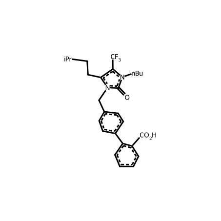 CCCCn1c(C(F)(F)F)c(CCC(C)C)n(Cc2ccc(-c3ccccc3C(=O)O)cc2)c1=O